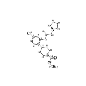 CC(Cc1cc(Cl)ccc1C1CCN(C(=O)OC(C)(C)C)CC1)CN1CCCC1